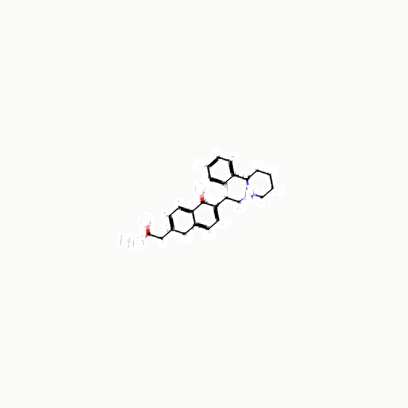 O=C(O)CC1=CC=C2C(=O)C(CCN3CCCCC3c3ccccc3)=CC=C2C1